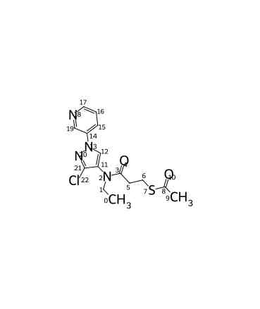 CCN(C(=O)CCSC(C)=O)c1cn(-c2cccnc2)nc1Cl